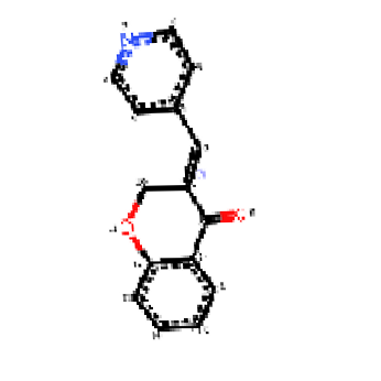 O=C1/C(=C/c2ccncc2)COc2ccccc21